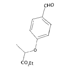 CCOC(=O)C(C)Oc1ccc(C=O)cc1